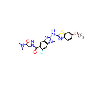 CN(C)C(=O)CNC(=O)c1cc2nc(Nc3nc4ccc(OC(F)(F)F)cc4s3)n(C)c2cc1F